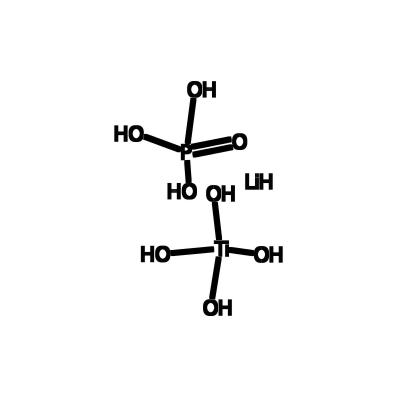 O=P(O)(O)O.[LiH].[OH][Ti]([OH])([OH])[OH]